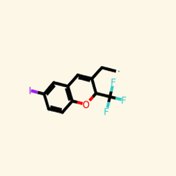 [CH2]CC1=Cc2cc(I)ccc2OC1C(F)(F)F